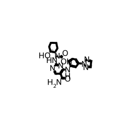 NC(=O)c1cnc(NN(C(=O)O)C2CCCC[C@@H]2O)nc1Nc1cccc(-n2nccn2)c1